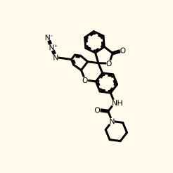 [N-]=[N+]=NC1=CC2Oc3cc(NC(=O)N4CCCCC4)ccc3C3(OC(=O)c4ccccc43)C2C=C1